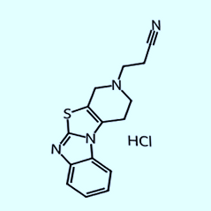 Cl.N#CCCN1CCc2c(sc3nc4ccccc4n23)C1